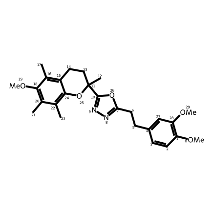 COc1ccc(CCc2nnc(C3(C)CCc4c(C)c(OC)c(C)c(C)c4O3)o2)cc1OC